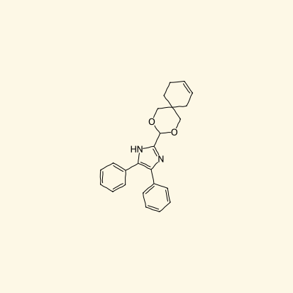 C1=CCC2(CC1)COC(c1nc(-c3ccccc3)c(-c3ccccc3)[nH]1)OC2